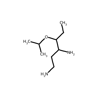 CCC(OC(C)C)C(N)CCN